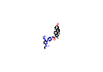 CCNc1ccc(NCC)c(N2CCN(CC(=O)[C@H]3[C@H](C)C[C@H]4[C@@H]5CCC6=CC(=O)C=C[C@]6(C)C5=CC[C@@]43C)CC2)n1